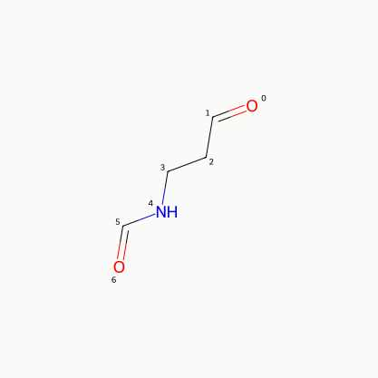 O=CCCNC=O